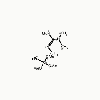 CCC[Si](OC)(OC)OC.CN=C(NC)N(C)C